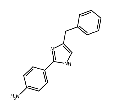 Nc1ccc(-c2nc(Cc3ccccc3)c[nH]2)cc1